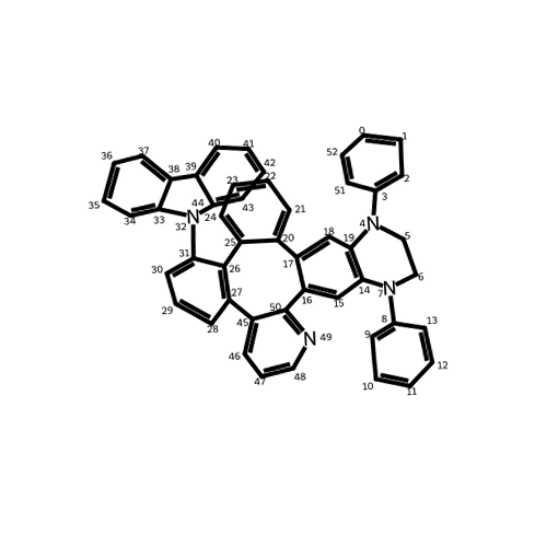 c1ccc(N2CCN(c3ccccc3)c3cc4c(cc32)-c2ccccc2-c2c(cccc2-n2c3ccccc3c3ccccc32)-c2cccnc2-4)cc1